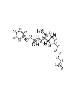 CN(C)CCCCCC1=C[C@H]2C[C@@H](O)[C@H](/C=C/[C@H](O)COc3ccccc3)[C@H]2C1